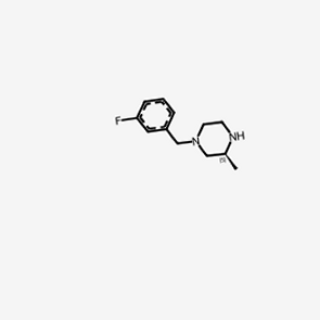 C[C@H]1CN(Cc2cccc(F)c2)CCN1